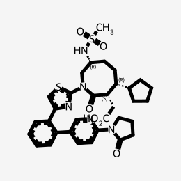 CS(=O)(=O)N[C@@H]1CC[C@H](C2CCCC2)[C@H](CC(=O)O)C(=O)N(c2nc(-c3ccccc3-c3ccc(N4CCCC4=O)nc3)cs2)C1